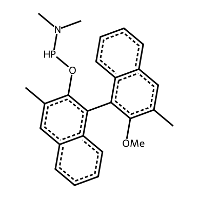 COc1c(C)cc2ccccc2c1-c1c(OPN(C)C)c(C)cc2ccccc12